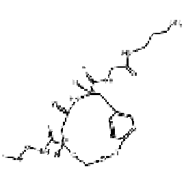 BCCCNC(=O)CNC(=O)[C@@H]1Cc2ccc(cc2)OCCC[C@H](C(=O)NOPI)CC(=O)N1